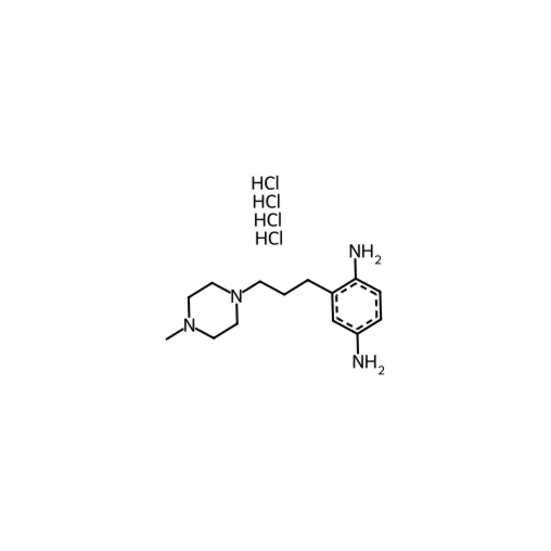 CN1CCN(CCCc2cc(N)ccc2N)CC1.Cl.Cl.Cl.Cl